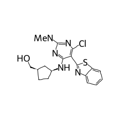 CNc1nc(Cl)c(-c2nc3ccccc3s2)c(N[C@H]2CC[C@@H](CO)C2)n1